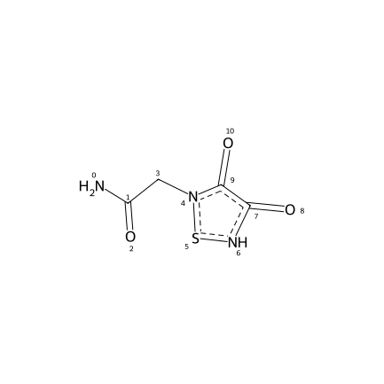 NC(=O)Cn1s[nH]c(=O)c1=O